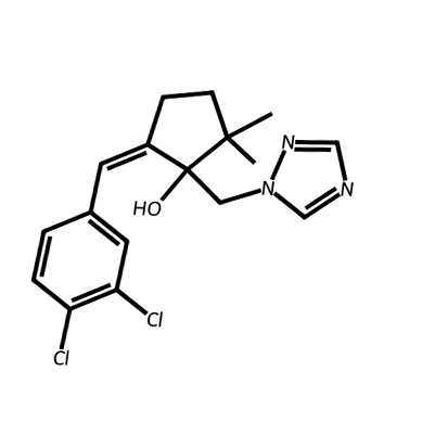 CC1(C)CCC(=Cc2ccc(Cl)c(Cl)c2)C1(O)Cn1cncn1